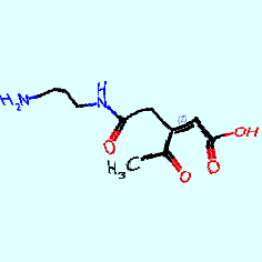 CC(=O)/C(=C\C(=O)O)CC(=O)NCCN